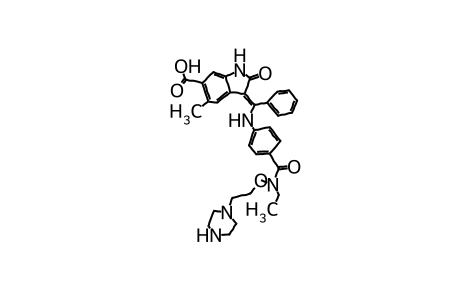 CCN(OCCN1CCNCC1)C(=O)c1ccc(N/C(=C2/C(=O)Nc3cc(C(=O)O)c(C)cc32)c2ccccc2)cc1